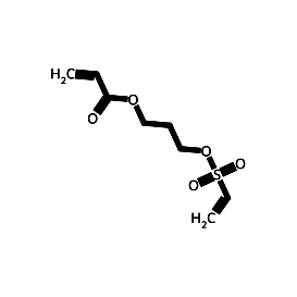 C=CC(=O)OCCCOS(=O)(=O)C=C